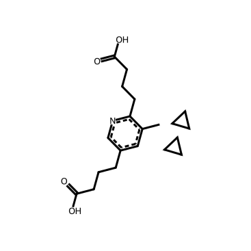 C1CC1.C1CC1.Cc1cc(CCCC(=O)O)cnc1CCCC(=O)O